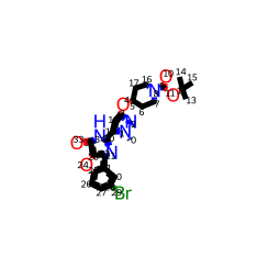 Cn1nc(OC2CCN(C(=O)OC(C)(C)C)CC2)cc1-c1nc2c(oc3ccc(Br)cc32)c(=O)[nH]1